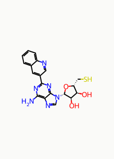 Nc1nc(-c2cnc3ccccc3c2)nc2c1ncn2[C@@H]1O[C@H](CS)[C@@H](O)[C@H]1O